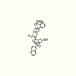 COC(=O)c1ccccc1NCC(=O)CN(C)C(=O)C1CC(S)CN1S(=O)(=O)c1ccc2ccccc2c1